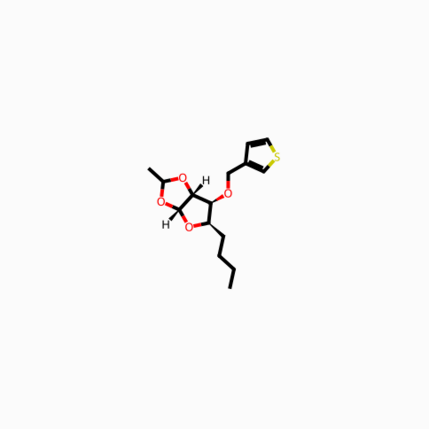 CCCC[C@H]1O[C@@H]2OC(C)O[C@@H]2[C@H]1OCc1ccsc1